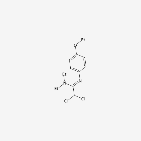 CCOc1ccc(N=C(C(Cl)Cl)N(CC)CC)cc1